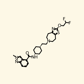 Cn1cc2c(C(=O)N[C@H]3CC[C@H](CCN4CCc5nc(OCC(F)F)sc5CC4)CC3)cccc2n1